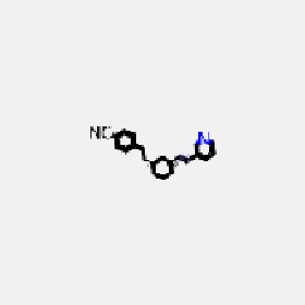 N#Cc1ccc(CC[C@@H]2CCC[C@H](/C=C/c3cccnc3)C2)cc1